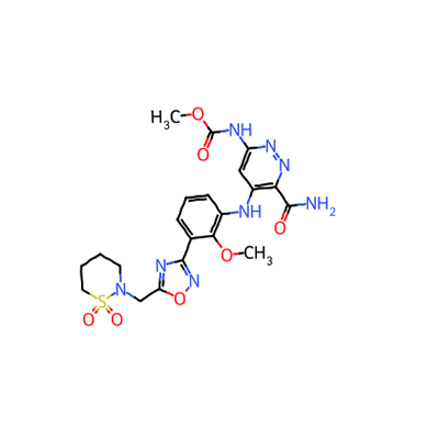 COC(=O)Nc1cc(Nc2cccc(-c3noc(CN4CCCCS4(=O)=O)n3)c2OC)c(C(N)=O)nn1